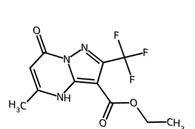 CCOC(=O)c1c(C(F)(F)F)nn2c(=O)cc(C)[nH]c12